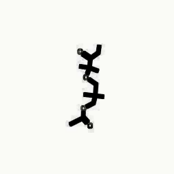 CCC(=O)C(C)(C)OCC(C)(C)COC(C)=O